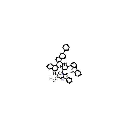 C=C/C=c1\c(=C(/C)c2cc(-c3cccc4c3sc3ccccc34)nc(-c3c(-c4cccc5ccccc45)ccc4c3C=CC(c3ccccc3)C4)n2)sc2ccccc12